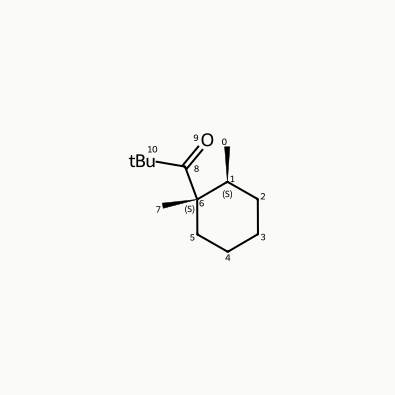 C[C@H]1CCCC[C@]1(C)C(=O)C(C)(C)C